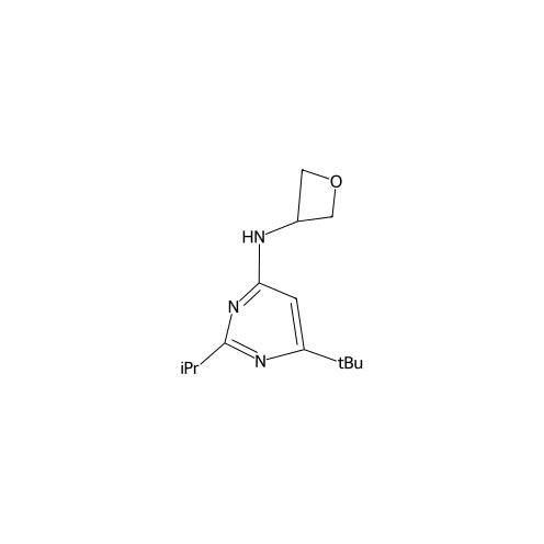 CC(C)c1nc(NC2COC2)cc(C(C)(C)C)n1